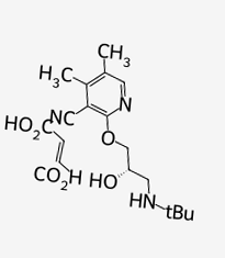 Cc1cnc(OC[C@@H](O)CNC(C)(C)C)c(C#N)c1C.O=C(O)C=CC(=O)O